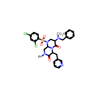 CC(C)N1CC2N(C(=O)C(N(Cc3ccccc3)C(=O)O)CN2S(=O)(=O)c2ccc(Cl)cc2Cl)C(Cc2cccnc2)C1=O